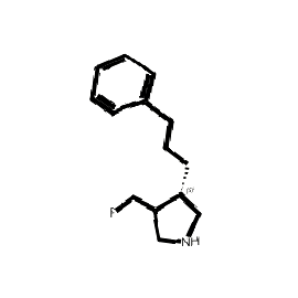 FCC1CNC[C@H]1CCCc1ccccc1